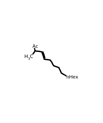 CCCCCCCCCC/C=C/C(C)C(C)=O